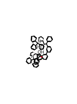 O[C@H](C(c1ccccc1)c1cccc(-c2cccc(C(c3ccccc3)[C@H](O)[C@H]3CCCN3C(c3ccccc3)(c3ccccc3)c3ccccc3)c2)c1)[C@H]1CCCN1C(c1ccccc1)(c1ccccc1)c1ccccc1